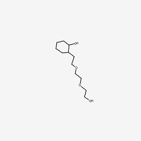 OCCOCCOCCC1CCCCC1O